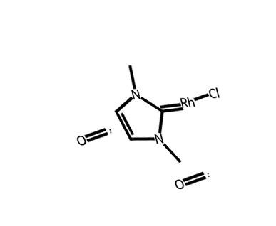 Cn1ccn(C)[c]1=[Rh][Cl].[C]=O.[C]=O